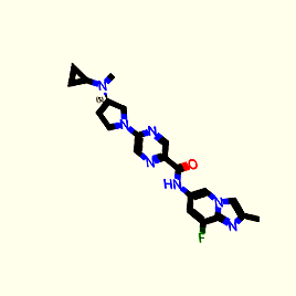 Cc1cn2cc(NC(=O)c3cnc(N4CC[C@H](N(C)C5CC5)C4)cn3)cc(F)c2n1